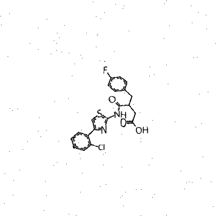 O=C(O)CC(Cc1ccc(F)cc1)C(=O)Nc1nc(-c2ccccc2Cl)cs1